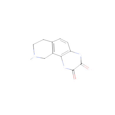 CN1CCc2ccc3[nH]c(=O)c(=O)[nH]c3c2C1.Cl